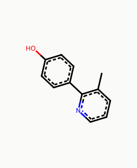 Cc1cccnc1-c1ccc(O)cc1